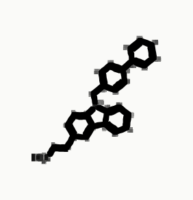 O=C(O)C=Cc1ccc2c(c1)c1ccccc1n2Cc1ccc(-c2ccccc2)cc1